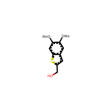 COc1cc2cc(CO)sc2cc1OC